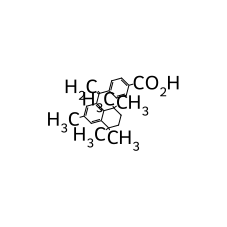 C=C(c1ccc(C(=O)O)cc1)c1cc(C)cc2c1C(C)(C)CCC2(C)C